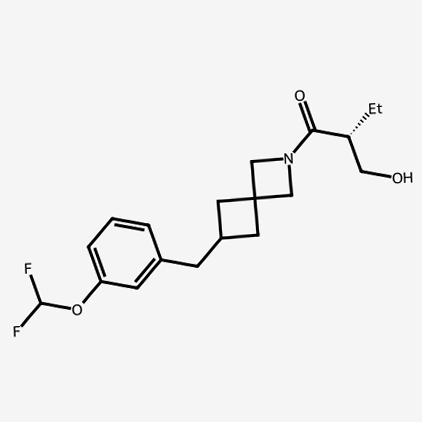 CC[C@H](CO)C(=O)N1CC2(CC(Cc3cccc(OC(F)F)c3)C2)C1